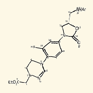 CCOC(=O)CN1CCN(c2ccc(N3C[C@H](CNC(C)=O)OC3=O)cc2F)C=N1